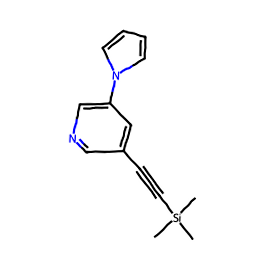 C[Si](C)(C)C#Cc1cncc(-n2cccc2)c1